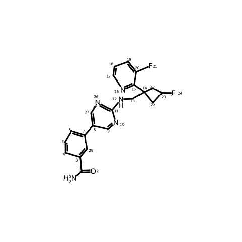 NC(=O)c1cccc(-c2cnc(NCC3(c4ncccc4F)CC(F)C3)nc2)c1